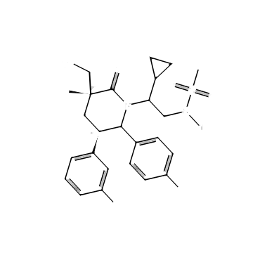 CC(C)N(CC(C1CC1)N1C(=O)[C@@](C)(CC(=O)O)C[C@H](c2cccc(Cl)c2)C1c1ccc(Cl)cc1)S(C)(=O)=O